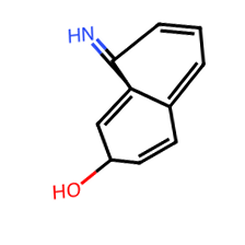 N=C1C=CC=C2C=CC(O)C=C12